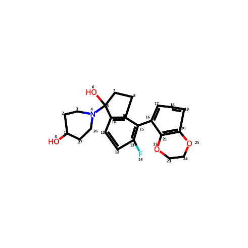 OC1CCN(C2(O)CCc3c2ccc(F)c3-c2cccc3c2OCCO3)CC1